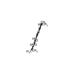 CC(C)CCCCNC(=O)CCCC(=O)NCCCOCCOCCOCCCNC(C)C